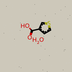 O.O=C(O)c1ccsc1